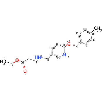 CCOC(=O)CCNCc1ccc(OCc2ccc(C)cc2)nc1